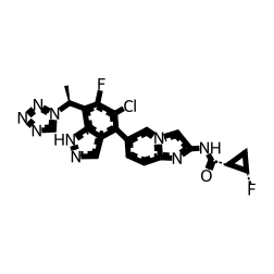 C[C@@H](c1c(F)c(Cl)c(-c2ccc3nc(NC(=O)[C@@H]4C[C@@H]4F)cn3c2)c2cn[nH]c12)n1cnnn1